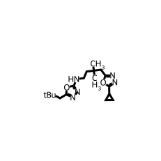 CC(C)(C)Cc1nnc(NCCC(C)(C)Cc2nnc(C3CC3)o2)o1